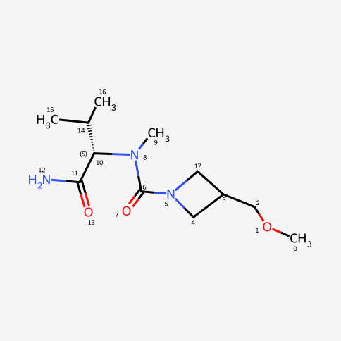 COCC1CN(C(=O)N(C)[C@H](C(N)=O)C(C)C)C1